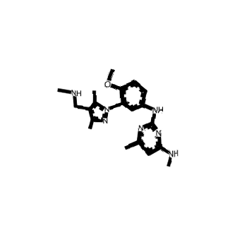 CNCc1c(C)nn(-c2cc(Nc3nc(C)cc(NC)n3)ccc2OC)c1C